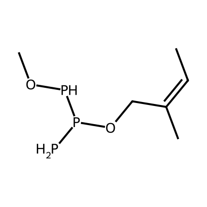 C/C=C(/C)COP(P)POC